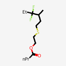 CCCC(=O)OCCSCCC(C)C(F)(F)CC